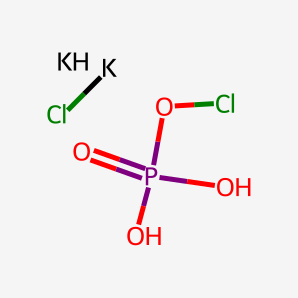 O=P(O)(O)OCl.[Cl][K].[KH]